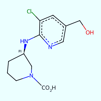 O=C(O)N1CCC[C@@H](Nc2ncc(CO)cc2Cl)C1